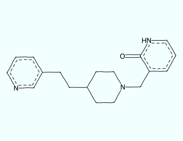 O=c1[nH]cccc1CN1CCC(CCc2cccnc2)CC1